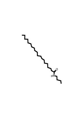 CCCCCCCCCCCCCCCCCCCC(=O)NCCCC